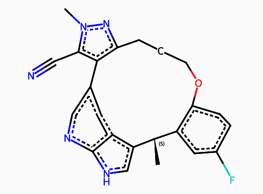 C[C@@H]1c2cc(F)ccc2OCCCc2nn(C)c(C#N)c2-c2cnc3[nH]cc1c3c2